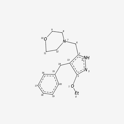 CCOc1n[nH]c(CN2CCOCC2)c1Cc1ccccc1